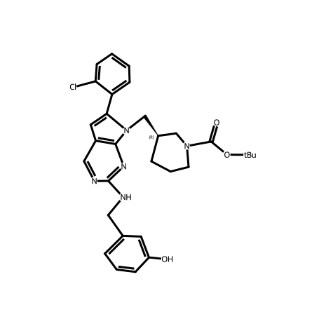 CC(C)(C)OC(=O)N1CCC[C@@H](Cn2c(-c3ccccc3Cl)cc3cnc(NCc4cccc(O)c4)nc32)C1